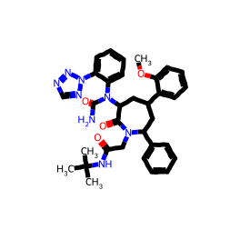 COc1ccccc1C1CC(c2ccccc2)N(CC(=O)NC(C)(C)C)C(=O)C(N(C(N)=O)c2ccccc2-n2ncnn2)C1